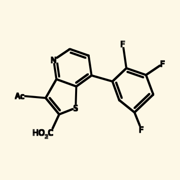 CC(=O)c1c(C(=O)O)sc2c(-c3cc(F)cc(F)c3F)ccnc12